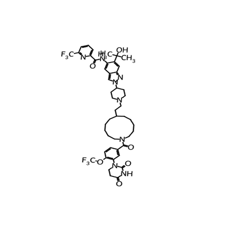 CC(C)(O)c1cc2nn(C3CCN(CCC4CCCCCN(C(=O)c5ccc(OC(F)(F)F)c(N6CCC(=O)NC6=O)c5)CCCCC4)CC3)cc2cc1NC(=O)c1cccc(C(F)(F)F)n1